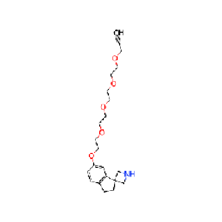 C#CCOCCOCCOCCOCCOc1ccc2c(c1)C1(CC2)CNC1